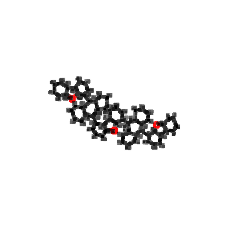 c1ccc2c(c1)oc1c(-c3c4ccccc4c(-c4cccc5c4oc4cccc(-c6c7ccccc7c(-c7cccc8c7oc7ccccc78)c7ccccc67)c45)c4ccccc34)cccc12